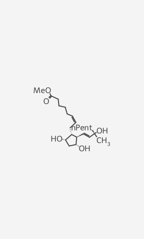 CCCCC[C@](C)(O)/C=C/[C@@H]1[C@@H](C/C=C\CCCCC(=O)OC)[C@@H](O)C[C@H]1O